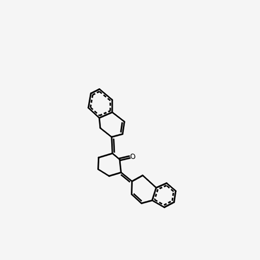 O=C1/C(=C2\C=Cc3ccccc3C2)CCC/C1=C1\C=Cc2ccccc2C1